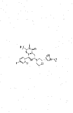 C[C@@H]1CN(c2cc3c(=O)n(C)c(C(F)(F)F)nc3c(-c3ccc(F)cc3F)n2)C[C@H](c2cnn(C3CC3)c2)O1